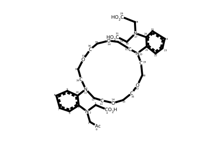 CC(=O)CN(CC(=O)O)c1ccccc1N1CCOCCOCCN(c2ccccc2N(CC(=O)O)CC(=O)O)CCOCCOCC1